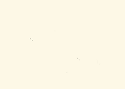 CCC(N)c1cc[c]c(N(C)C)c1